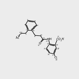 CC(=O)SCc1ccccc1CCC(=O)Nc1ccc(Cl)cc1C(=O)O